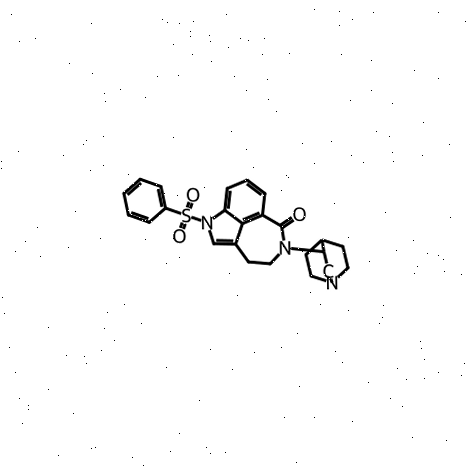 O=C1c2cccc3c2c(cn3S(=O)(=O)c2ccccc2)CCN1C1CN2CCC1CC2